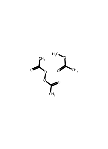 CC(=O)OOC(C)=O.COC(C)=O